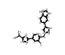 Fc1cc(-c2nnc(C(F)F)o2)cnc1Cn1cc(-c2ccc3[nH]cnc3c2)nn1